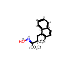 CCOC(=O)C(CCc1c([N+](=O)[O-])ccc2ccccc12)=NO